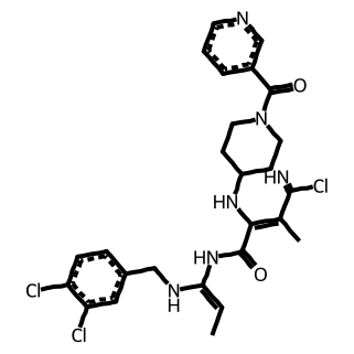 C/C=C(\NCc1ccc(Cl)c(Cl)c1)NC(=O)/C(NC1CCN(C(=O)c2cccnc2)CC1)=C(\C)C(=N)Cl